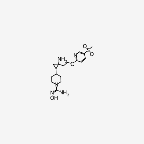 CS(=O)(=O)c1ccc(OCCC2(N)CC2C2CCN(/C(N)=N/O)CC2)nc1